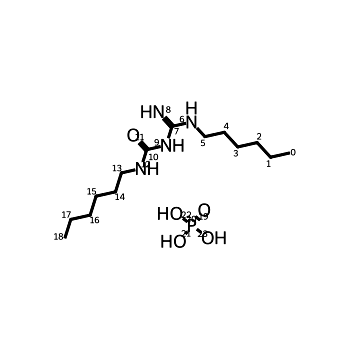 CCCCCCNC(=N)NC(=O)NCCCCCC.O=P(O)(O)O